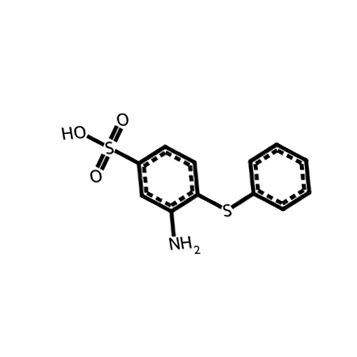 Nc1cc(S(=O)(=O)O)ccc1Sc1ccccc1